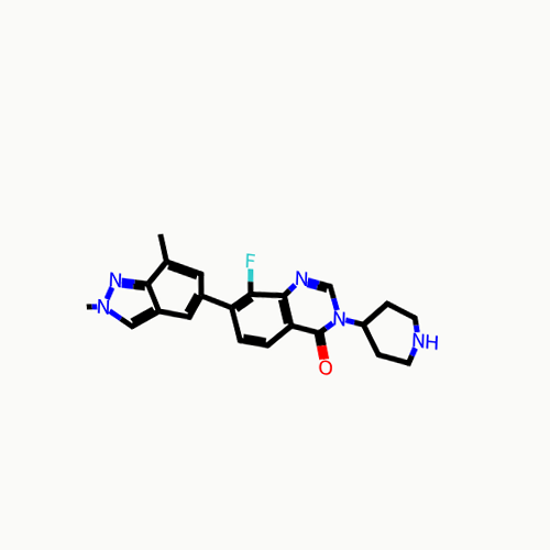 Cc1cc(-c2ccc3c(=O)n(C4CCNCC4)cnc3c2F)cc2cn(C)nc12